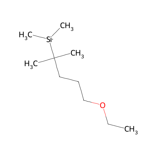 CCOCCCC(C)(C)[Si](C)C